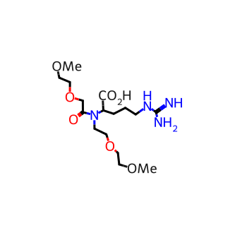 COCCOCCN(C(=O)COCCOC)C(CCCNC(=N)N)C(=O)O